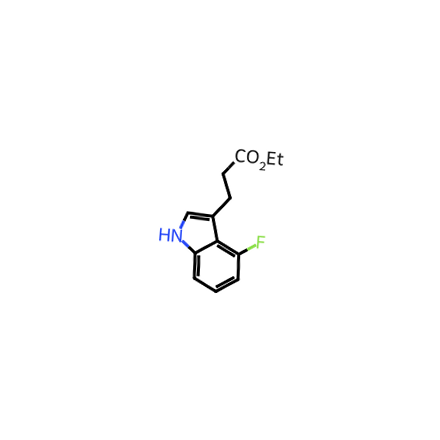 CCOC(=O)CCc1c[nH]c2cccc(F)c12